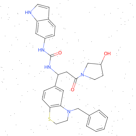 O=C(Nc1ccc2cc[nH]c2c1)NC(CC(=O)N1CCC(O)C1)c1ccc2c(c1)N(Cc1ccccc1)CCS2